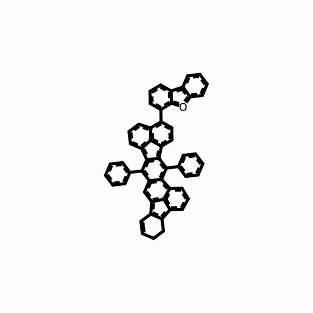 C1=Cc2c(c3cccc4c5c(-c6ccccc6)c6c7ccc(-c8cccc9c8oc8ccccc89)c8cccc(c6c(-c6ccccc6)c5cc2c34)c87)CC1